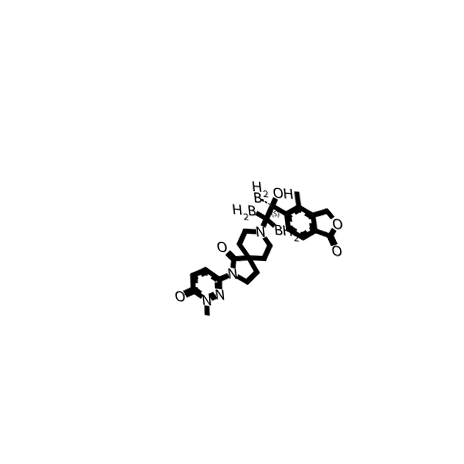 BC(B)(N1CCC2(CCN(c3ccc(=O)n(C)n3)C2=O)CC1)[C@@](B)(O)c1ccc2c(c1C)COC2=O